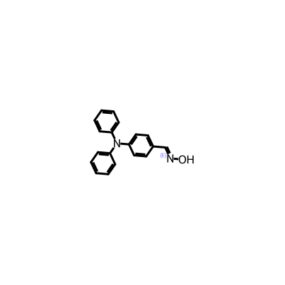 O/N=C/c1ccc(N(c2ccccc2)c2ccccc2)cc1